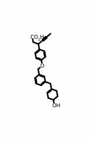 CC#CC(CC(=O)O)c1ccc(OCc2cccc(CC3=CCC(O)CC3)c2)cc1